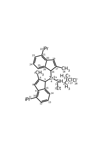 CC.CC[SiH2][Zr+2]([CH]1C(C)=Cc2c(C(C)C)cccc21)[CH]1C(C)=Cc2c(C(C)C)cccc21.[Cl-].[Cl-]